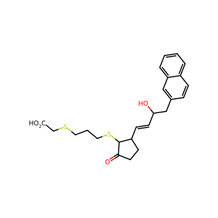 O=C(O)CSCCCSC1C(=O)CCC1C=CC(O)Cc1ccc2ccccc2c1